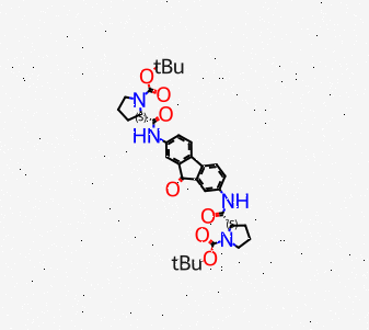 CC(C)(C)OC(=O)N1CCC[C@H]1C(=O)Nc1ccc2c(c1)C(=O)c1cc(NC(=O)[C@@H]3CCCN3C(=O)OC(C)(C)C)ccc1-2